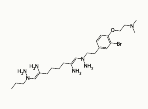 CCCN(N)/C=C(\N)CCCC/C(N)=C/N(N)CCc1ccc(OCCN(C)C)c(Br)c1